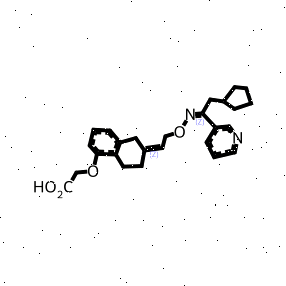 O=C(O)COc1cccc2c1CC/C(=C/CO/N=C(/CC1CCCC1)c1cccnc1)C2